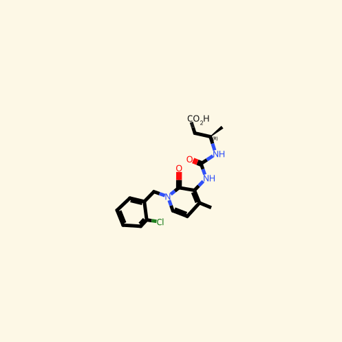 Cc1ccn(Cc2ccccc2Cl)c(=O)c1NC(=O)N[C@H](C)CC(=O)O